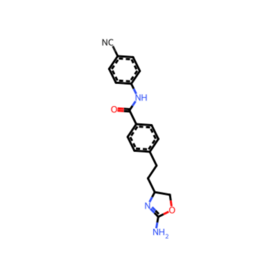 N#Cc1ccc(NC(=O)c2ccc(CCC3COC(N)=N3)cc2)cc1